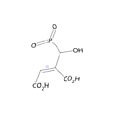 O=C(O)/C=C(\C(=O)O)C(O)P(=O)=O